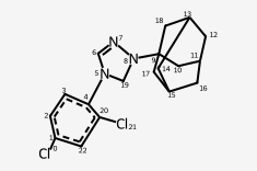 Clc1ccc(N2C=NN(C34CC5CC(CC(C5)C3)C4)C2)c(Cl)c1